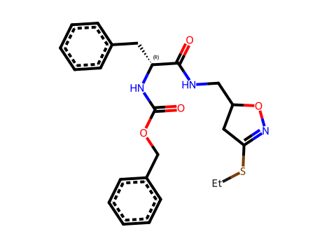 CCSC1=NOC(CNC(=O)[C@@H](Cc2ccccc2)NC(=O)OCc2ccccc2)C1